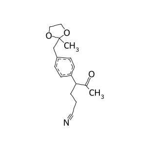 CC(=O)C(CCC#N)c1ccc(CC2(C)OCCO2)cc1